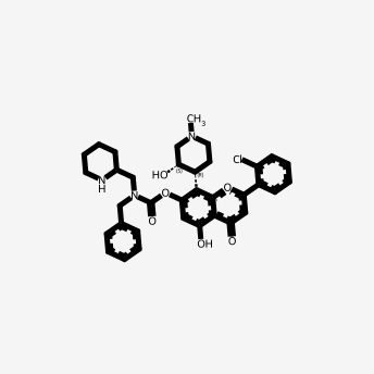 CN1CC[C@H](c2c(OC(=O)N(Cc3ccccc3)CC3CCCCN3)cc(O)c3c(=O)cc(-c4ccccc4Cl)oc23)[C@H](O)C1